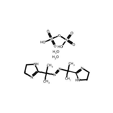 CC(C)(/N=N/C(C)(C)C1=NCCN1)C1=NCCN1.O.O.O=S(=O)(O)OS(=O)(=O)O